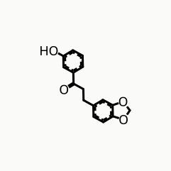 O=C(CCc1ccc2c(c1)OCO2)c1cccc(O)c1